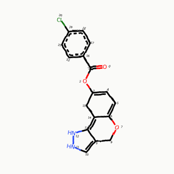 O=C(OC1=CC=C2OCC3=CNNC3=C2C1)c1ccc(Cl)cc1